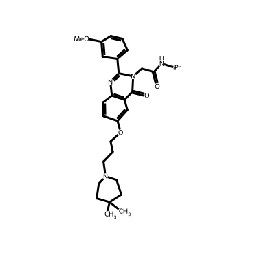 COc1cccc(-c2nc3ccc(OCCCN4CCC(C)(C)CC4)cc3c(=O)n2CC(=O)NC(C)C)c1